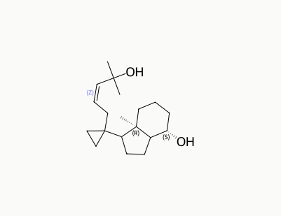 CC(C)(O)/C=C\CC1(C2CCC3[C@@H](O)CCC[C@@]32C)CC1